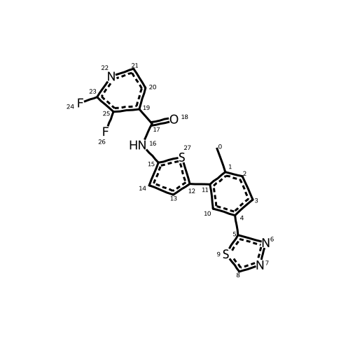 Cc1ccc(-c2nncs2)cc1-c1ccc(NC(=O)c2ccnc(F)c2F)s1